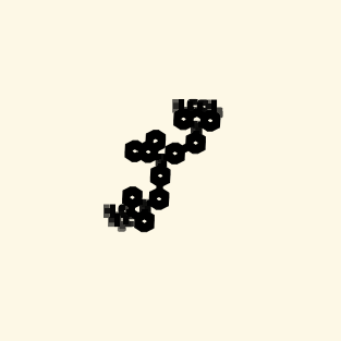 CC1(C)c2ccccc2N(c2cccc(-c3ccc(N(c4ccc(-c5cccc(N6c7ccccc7C(C)(C)c7ccccc76)c5)cc4)c4cc5ccccc5c5ccccc45)cc3)c2)c2ccccc21